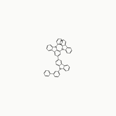 c1ccc(-c2cccc(-n3c4ccccc4c4cc(-c5cc(-n6c7ccccc7c7ccccc76)c6c(c5)c5ccccc5n6-c5ccccc5)ccc43)c2)cc1